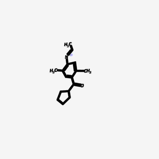 C/C=N/c1cc(C)c(C(=O)C2CCCC2)cc1C